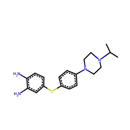 CC(C)N1CCN(c2ccc(Sc3ccc(N)c(N)c3)cc2)CC1